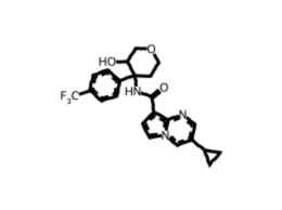 O=C(NC1(c2ccc(C(F)(F)F)cc2)CCOCC1O)c1ccn2cc(C3CC3)cnc12